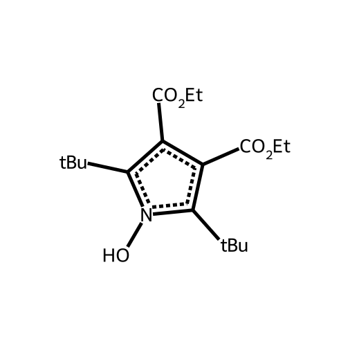 CCOC(=O)c1c(C(=O)OCC)c(C(C)(C)C)n(O)c1C(C)(C)C